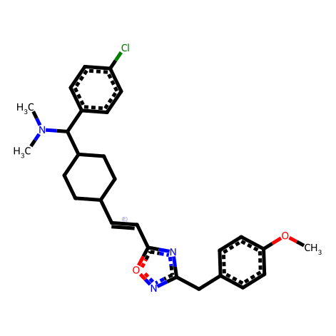 COc1ccc(Cc2noc(/C=C/C3CCC(C(c4ccc(Cl)cc4)N(C)C)CC3)n2)cc1